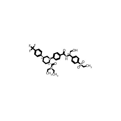 CCN(CC)C(=O)[C@@H]1CC[C@@H](c2ccc(C(F)(F)F)cc2)CN1c1ccc(C(=O)N[C@@H](CO)c2ccc(S(=O)(=O)CC)cc2)cc1